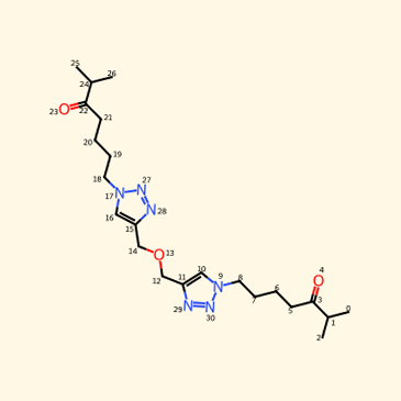 CC(C)C(=O)CCCCn1cc(COCc2cn(CCCCC(=O)C(C)C)nn2)nn1